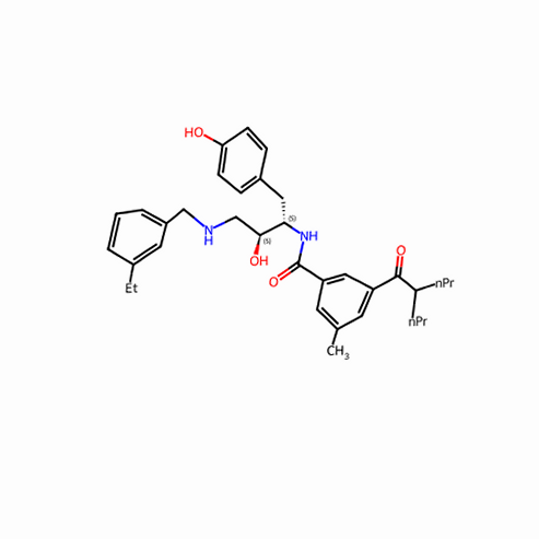 CCCC(CCC)C(=O)c1cc(C)cc(C(=O)N[C@@H](Cc2ccc(O)cc2)[C@@H](O)CNCc2cccc(CC)c2)c1